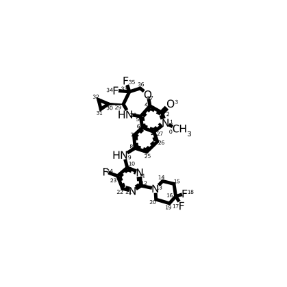 Cn1c(=O)c2c(c3cc(Nc4nc(N5CCC(F)(F)CC5)ncc4F)ccc31)N[C@@H](C1CC1)C(F)(F)CO2